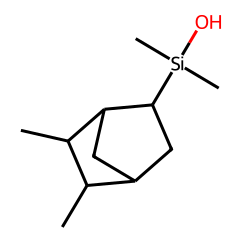 CC1C2CC(C1C)C([Si](C)(C)O)C2